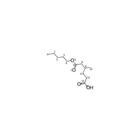 CCCCCOC(=O)CC(C)CCC(=O)O